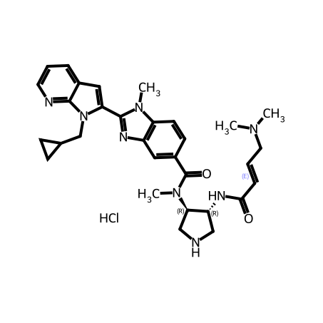 CN(C)C/C=C/C(=O)N[C@@H]1CNC[C@H]1N(C)C(=O)c1ccc2c(c1)nc(-c1cc3cccnc3n1CC1CC1)n2C.Cl